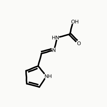 O=C(O)NN=Cc1ccc[nH]1